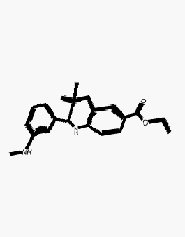 CCOC(=O)c1ccc2c(c1)CC(C)(C)C(c1cccc(NC)c1)N2